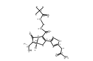 C[C@@H](O)[C@H]1C(=O)N2C(C(=O)OCOC(=O)C(C)(C)C)=C(c3csc(CC(N)=O)c3)C[C@H]12